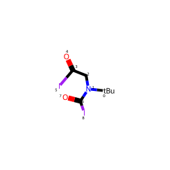 CC(C)(C)N(CC(=O)I)C(=O)I